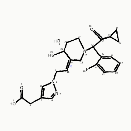 Cl.O=C(O)Cc1cnn(C/C=C2/CN(C(C(=O)C3CC3)c3ccccc3F)CCC2S)c1